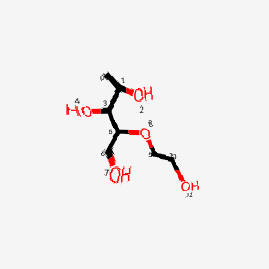 CC(O)C(O)C(CO)OCCO